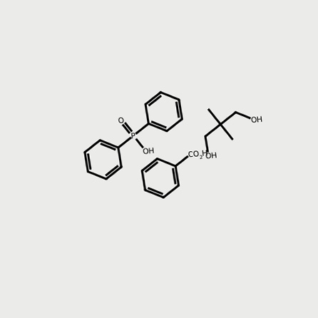 CC(C)(CO)CO.O=C(O)c1ccccc1.O=P(O)(c1ccccc1)c1ccccc1